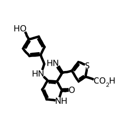 N=C(c1csc(C(=O)O)c1)c1c(NCc2ccc(O)cc2)cc[nH]c1=O